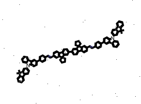 CC1(C)c2ccccc2-c2ccc(-n3c4ccccc4c4cc(-c5ccc(/C=C/c6ccc7c(c6)C6(CCCC6)c6cc(-c8ccc9c(c8)C8(CCCC8)c8cc(/C=C/c%10ccc(-c%11ccc%12c(c%11)c%11ccccc%11n%12-c%11ccc%12c(c%11)C(C)(C)c%11ccccc%11-%12)cc%10)ccc8-9)ccc6-7)cc5)ccc43)cc21